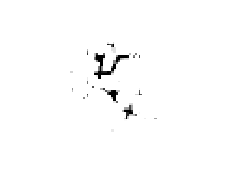 CC(C)(C)OC(=O)NC(C)(CCN)C(=O)O.Cl